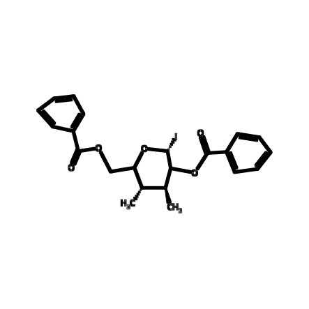 C[C@@H]1C(COC(=O)c2ccccc2)O[C@H](I)C(OC(=O)c2ccccc2)[C@H]1C